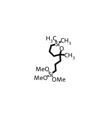 CO[Si](CCCC1(C)CCC[Si](C)(C)O1)(OC)OC